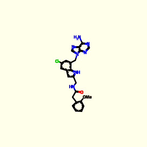 COc1ccccc1CC(=O)NCc1cc2cc(Cl)cc(Cn3cnc4c(N)ncnc43)c2[nH]1